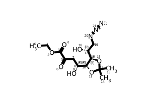 CCOC(=O)C(=O)C[C@@H](O)[C@H]1OC(C)(C)O[C@@H]1[C@H](O)CN=[N+]=[N-]